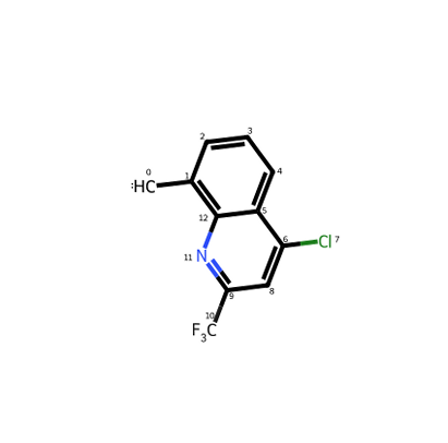 [CH]c1cccc2c(Cl)cc(C(F)(F)F)nc12